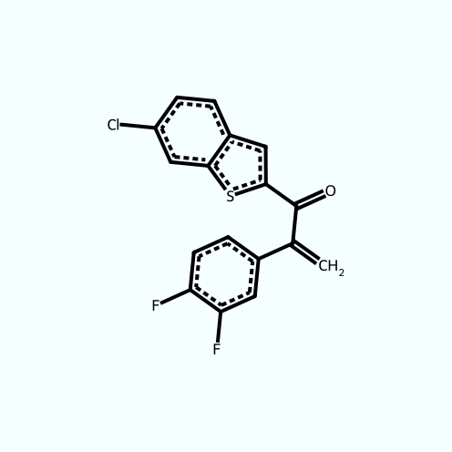 C=C(C(=O)c1cc2ccc(Cl)cc2s1)c1ccc(F)c(F)c1